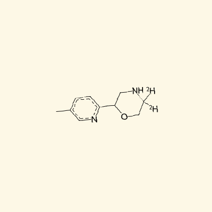 [2H]C1([2H])COC(c2ccc(C)cn2)CN1